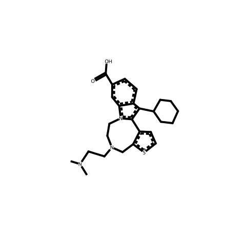 CN(C)CCN1CCn2c(c(C3CCCCC3)c3ccc(C(=O)O)cc32)-c2ccsc2C1